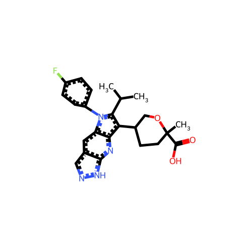 CC(C)c1c(C2CCC(C)(C(=O)O)OC2)c2nc3[nH]ncc3cc2n1-c1ccc(F)cc1